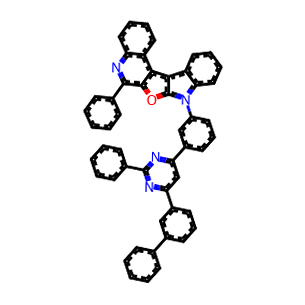 c1ccc(-c2cccc(-c3cc(-c4cccc(-n5c6ccccc6c6c7c(oc65)c(-c5ccccc5)nc5ccccc57)c4)nc(-c4ccccc4)n3)c2)cc1